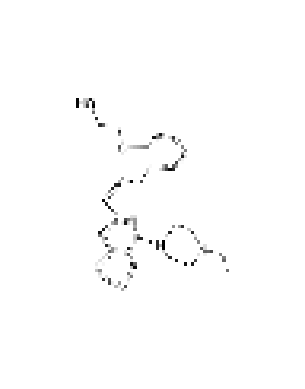 CCN1CCN(c2nc(/C=C\Cc3ccccc3OCCO)cc3ccccc23)CC1